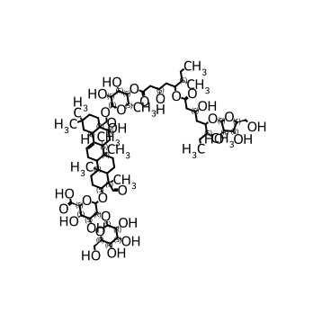 CC[C@H](C)C(C[C@H](O)CC(=O)O[C@H]1[C@@H](O)[C@H](O)[C@@H](OC(=O)[C@]23CCC(C)(C)C[C@H]2C2=CCC4[C@@]5(C)CC[C@H](OC6O[C@H](C(=O)O)[C@@H](O)[C@H](O)[C@H]6O[C@@H]6O[C@H](CO)[C@H](O)[C@H](O)[C@H]6O)[C@@](C)(C=O)C5CC[C@@]4(C)[C@]2(C)C[C@H]3O)O[C@H]1C)OC(=O)C[C@@H](O)CC(O[C@@H]1O[C@@H](CO)[C@H](O)[C@H]1O)[C@@H](C)CC